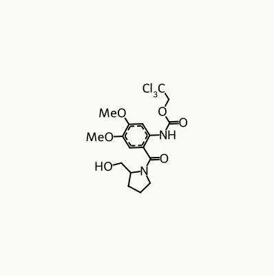 COc1cc(NC(=O)OCC(Cl)(Cl)Cl)c(C(=O)N2CCCC2CO)cc1OC